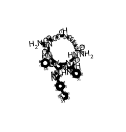 NC(=O)C[C@@H]1NC(=O)CCC(=O)NCCCC[C@@H](C(N)=O)NC(O)[C@H](Cc2c[nH]c3ccccc23)NC(=O)[C@@H]2C[C@H](n3cc(-c4ccc(-c5cccs5)cc4)nn3)CN2C(=O)[C@H](C2CCCCC2)NC1=O